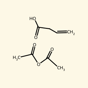 C=CCC(=O)O.CC(=O)OC(C)=O